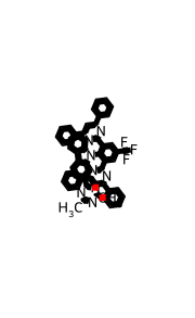 Cc1nc(C)nc(-c2ccc3c4ccccc4n(-c4c(-c5nc(-c6ccccc6)cc(-c6ccccc6)n5)cc(C(F)(F)F)cc4-c4nc(-c5ccccc5)cc(-c5ccccc5)n4)c3c2)n1